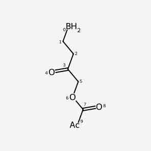 BCCC(=O)COC(=O)C(C)=O